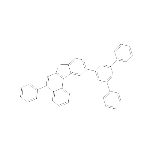 c1ccc(-c2nc(-c3ccccc3)nc(-c3ccc4oc5cc(-c6ccccc6)c6ccccc6c5c4c3)n2)cc1